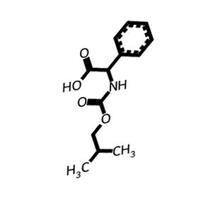 CC(C)COC(=O)NC(C(=O)O)c1ccccc1